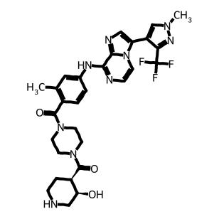 Cc1cc(Nc2nccn3c(-c4cn(C)nc4C(F)(F)F)cnc23)ccc1C(=O)N1CCN(C(=O)[C@@H]2CCNC[C@@H]2O)CC1